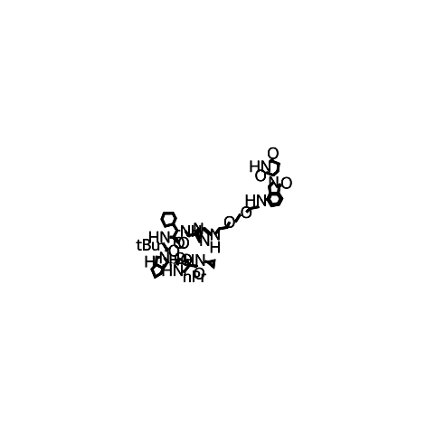 CCC[C@H](NC(=O)[C@@H]1C2CCC[C@H]2CN1C(=O)[C@@H](NC(=O)[C@@H](NC(=O)c1cnc(NCCOCCOCCNc2cccc3c2CN(C2CCC(=O)NC2=O)C3=O)cn1)C1CCCCC1)C(C)(C)C)C(O)C(=O)NC1CC1